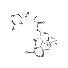 CC(C)C[C@H](NC(=O)C(C)C)C(=O)O[C@@H](C)C(=O)OC1=CC[C@@]2(O)[C@H]3Cc4ccc(O)c5c4[C@@]2(CCN3C)[C@H]1O5